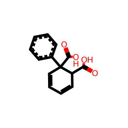 O=C(O)C1C=CC=CC1(C(=O)O)c1ccccc1